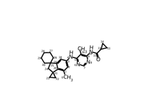 Cc1cc(Nc2ncnc(NC(=O)C3CC3)c2C)cc2c1C1(CC1)CC21CCCCC1